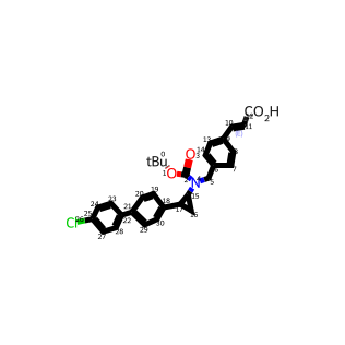 CC(C)(C)OC(=O)N(Cc1ccc(/C=C/C(=O)O)cc1)C1CC1c1ccc(-c2ccc(Cl)cc2)cc1